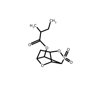 CCC(C)C(=O)OC1C2CC3OS(=O)(=O)C1C3O2